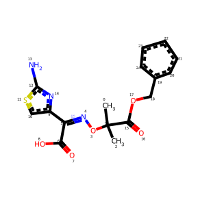 CC(C)(O/N=C(\C(=O)O)c1csc(N)n1)C(=O)OCc1ccccc1